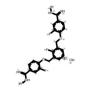 CC(C)NC(=N)c1ccc(OCc2cccc(COc3ccc(C(=N)NC(C)C)cc3F)c2F)c(F)c1.Cl.Cl